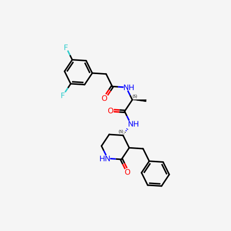 C[C@H](NC(=O)Cc1cc(F)cc(F)c1)C(=O)N[C@H]1CCNC(=O)C1Cc1ccccc1